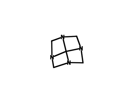 C1N2CN3CN4CN1C234